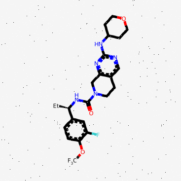 CC[C@@H](NC(=O)N1CCc2cnc(NC3CCOCC3)nc2C1)c1ccc(OC(F)(F)F)c(F)c1